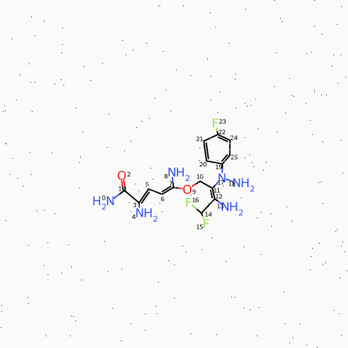 NC(=O)/C(N)=C/C=C(\N)OC/C(=C(/N)C(F)F)N(N)c1ccc(F)cc1